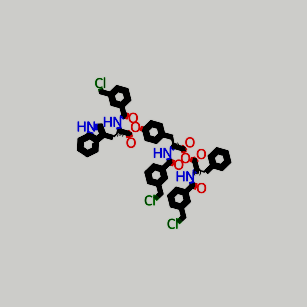 O=C(N[C@@H](Cc1ccccc1)C(=O)OC(=O)[C@H](Cc1ccc(OC(=O)[C@H](Cc2c[nH]c3ccccc23)NC(=O)c2cccc(CCl)c2)cc1)NC(=O)c1cccc(CCl)c1)c1cccc(CCl)c1